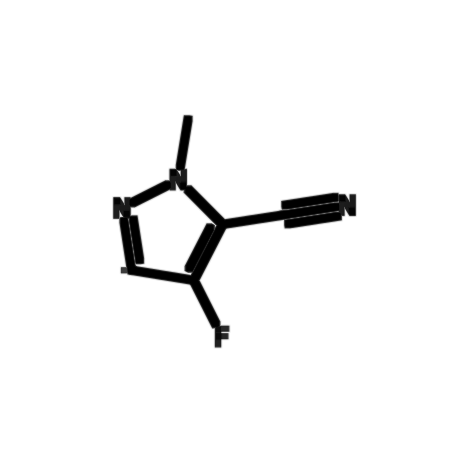 Cn1n[c]c(F)c1C#N